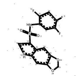 O=S(=O)(Nc1cc(F)c(F)cc1F)c1c[nH]c2cc3c(cc12)OCO3